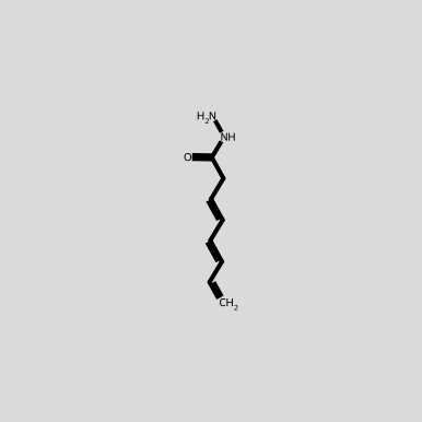 C=CC=CC=CCC(=O)NN